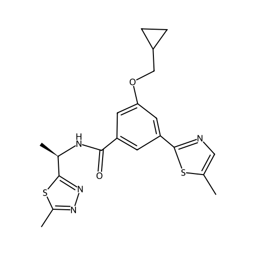 Cc1cnc(-c2cc(OCC3CC3)cc(C(=O)N[C@H](C)c3nnc(C)s3)c2)s1